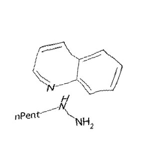 CCCCCNN.c1ccc2ncccc2c1